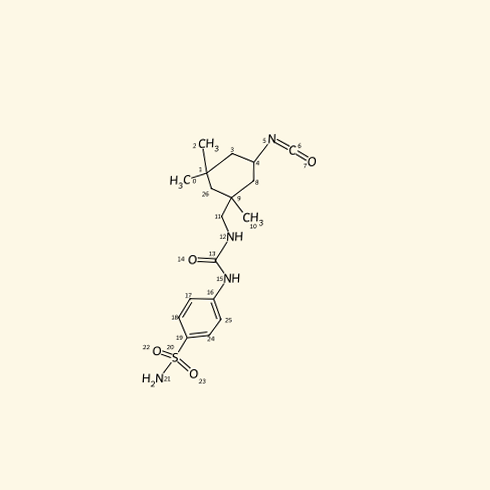 CC1(C)CC(N=C=O)CC(C)(CNC(=O)Nc2ccc(S(N)(=O)=O)cc2)C1